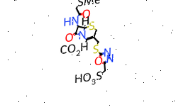 CSCC(=O)NC1C(=O)N2C(C(=O)O)=C(CSc3nnc(CS(=O)(=O)O)o3)CS[C@H]12